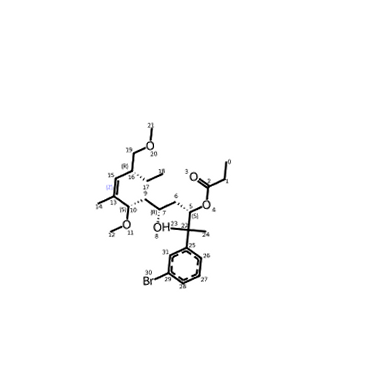 CCC(=O)O[C@@H](C[C@H](O)C[C@H](OC)/C(C)=C\[C@@H](CC)COC)C(C)(C)c1cccc(Br)c1